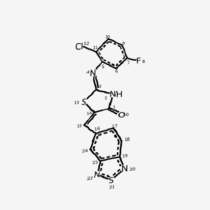 O=C1NC(=Nc2cc(F)ccc2Cl)SC1=Cc1ccc2nsnc2c1